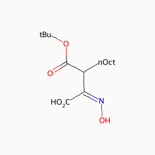 CCCCCCCCC(C(=O)OC(C)(C)C)C(=NO)C(=O)O